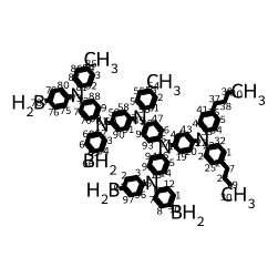 Bc1ccc(N(c2ccc(B)cc2)c2ccc(N(c3ccc(N(c4ccc(CCCC)cc4)c4ccc(CCCC)cc4)cc3)c3ccc(N(c4ccc(C)cc4)c4ccc(N(c5ccc(B)cc5)c5ccc(N(c6ccc(B)cc6)c6ccc(C)cc6)cc5)cc4)cc3)cc2)cc1